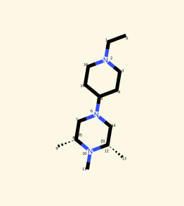 CCN1CCC(N2C[C@@H](C)N(C)[C@@H](C)C2)CC1